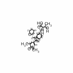 Cc1cc(-c2nc3ccc(CN[C@H](C(=O)O)[C@@H](C)O)cc3n2C[C@H]2CCCCO2)cn(C)c1=O